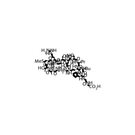 CC[C@H](C)[C@H](NC(=O)[C@H](CCCNC(=N)N)NC(=O)[C@@H](NC(=O)[C@H](CO)NC(=O)[C@H](CCC(N)=O)NC(=O)[C@H](CC(=O)O)NC(=O)CNC(=O)[C@H](CCCNC(=N)N)NC(=O)[C@H](CCSC)NC(=O)[C@@H](NC(=O)[C@H](C)NC(=O)[C@H](C)N)[C@@H](C)O)C(C)C)C(=O)N[C@@H](Cc1ccccc1)C(=O)NCC(=O)NCC(=O)O